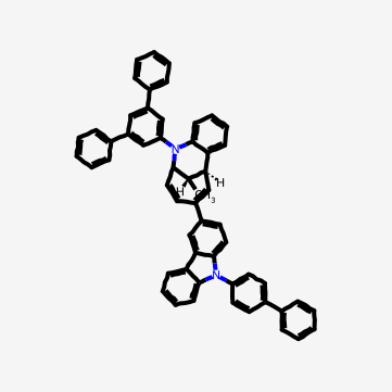 C[C@@H]1C2C=CC(c3ccc4c(c3)c3ccccc3n4-c3ccc(-c4ccccc4)cc3)=C[C@@H]1c1ccccc1N2c1cc(-c2ccccc2)cc(-c2ccccc2)c1